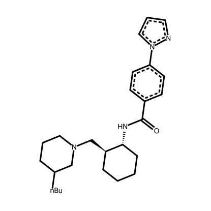 CCCCC1CCCN(C[C@@H]2CCCC[C@H]2NC(=O)c2ccc(-n3cccn3)cc2)C1